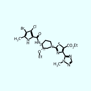 CCOC(=O)c1sc(N2CC[C@@H](NC(=O)c3[nH]c(C)c(Br)c3Cl)[C@@H](OCC)C2)nc1-c1ncnn1C